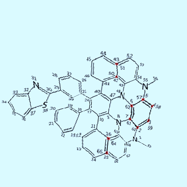 CN1c2ccccc2N(c2c(-c3ccccc3)c(-c3ccccc3)c(-c3cccc(-c4nc5ccccc5s4)c3)c(-c3ccccc3)c2N2c3ccccc3N(C)c3ccccc32)c2ccccc21